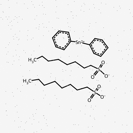 CCCCCCCCS(=O)(=O)[O-].CCCCCCCCS(=O)(=O)[O-].c1cc[c]([Sn+2][c]2ccccc2)cc1